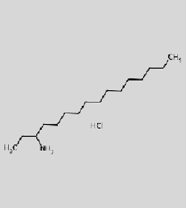 CCCCCCCCCCCCCC(N)CC.Cl